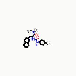 CCN(C#N)C(=O)C(Cc1ccc2ccccc2c1)NC(=O)Nc1ccc(C(F)(F)F)cc1